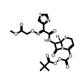 COC(=O)CON=C(C(=O)NC1C(=O)N2C(OC(=O)OOC(=O)C(C)(C)C)=CCS[C@@H]12)c1cscn1